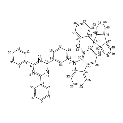 c1ccc(-c2nc(-c3ccccc3)nc(-c3cccc(-n4c5ccccc5c5ccc6c(c54)Oc4ccccc4C64c5ccccc5-c5ccccc54)c3)n2)cc1